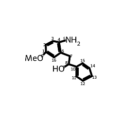 COc1ccc(N)c(CC(O)c2ccccc2)c1